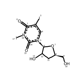 O=c1c(I)cn([C@H]2O[C@@H](CO)CC2O)c(=O)n1I